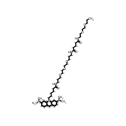 CCCOCCOCCNC(=O)CCCC(=O)NCCCOCCOCCOCCCNC(=O)CCCCC[n+]1c2cc(N(C)C)ccc2cc2ccc(N(C)C)cc21